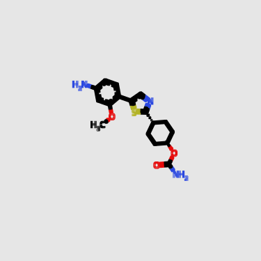 COc1cc(N)ccc1-c1cnc([C@H]2CC[C@H](OC(N)=O)CC2)s1